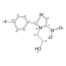 O=[N+]([O-])c1cnc(-c2ccc(F)cc2)n1CCO